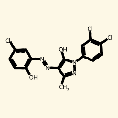 Cc1nn(-c2ccc(Cl)c(Cl)c2)c(O)c1N=Nc1cc(Cl)ccc1O